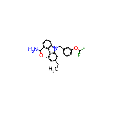 CCc1c[c]c2c3c(C(N)=O)cccc3n(Cc3cccc(OC(F)F)c3)c2c1